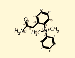 C[N+](C)(c1ccccc1)c1ccccc1CC(N)=O